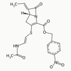 C/C=C1/C(=O)N2C(C(=O)OCc3ccc([N+](=O)[O-])cc3)=C(S/C=C/NC(C)=O)C[C@H]12